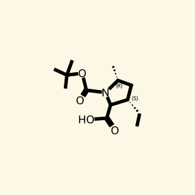 CC[C@H]1C[C@@H](C)N(C(=O)OC(C)(C)C)C1C(=O)O